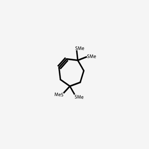 CSC1(SC)C#CCC(SC)(SC)CC1